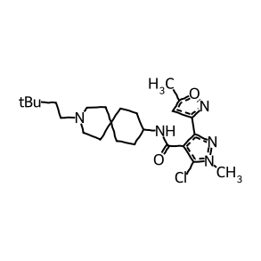 Cc1cc(-c2nn(C)c(Cl)c2C(=O)NC2CCC3(CC2)CCN(CCC(C)(C)C)CC3)no1